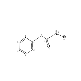 O=C(Cc1ccccc1)[NH][Er]